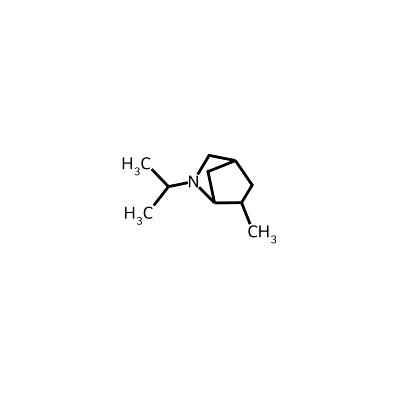 CC1CC2CC1N(C(C)C)C2